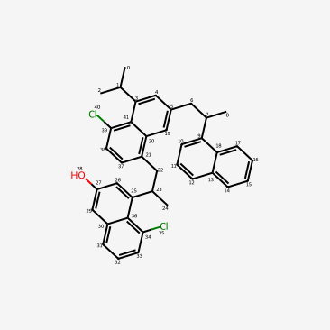 CC(C)c1cc(CC(C)c2cccc3ccccc23)cc2c(CC(C)c3cc(O)cc4cccc(Cl)c34)ccc(Cl)c12